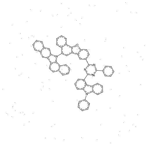 c1ccc(-c2nc(-c3ccc4oc5c6ccccc6c(-n6c7cc8ccccc8cc7c7ccc8ccccc8c76)cc5c4c3)nc(-c3cccc4c3c3ccccc3n4-c3ccccc3)n2)cc1